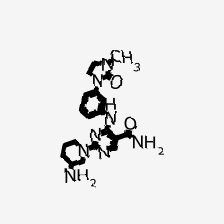 CN1CCN(c2cccc(Nc3nc(N4CCCC(N)C4)ncc3C(N)=O)c2)C1=O